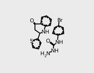 NNC(=O)Nc1ccc(Br)cc1.O=C1CC(c2cccs2)Nc2ccccc21